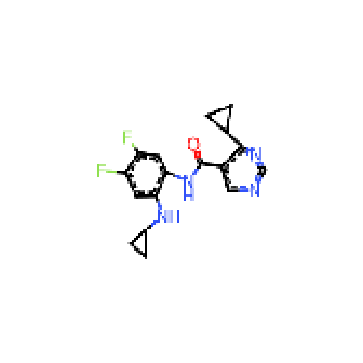 O=C(Nc1cc(F)c(F)cc1NC1CC1)c1cncnc1C1CC1